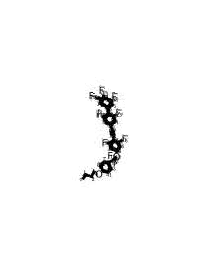 CCCCOc1ccc(C(F)(F)Oc2cc(F)c(C#Cc3cc(F)c(-c4cc(F)c(F)c(F)c4)c(F)c3)c(F)c2)cc1